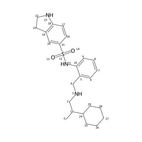 CC(CNCc1ccccc1NS(=O)(=O)c1ccc2c(c1)CCN2)C1CCCCC1